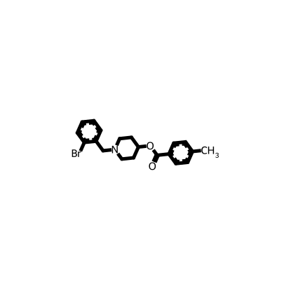 Cc1ccc(C(=O)OC2CCN(Cc3ccccc3Br)CC2)cc1